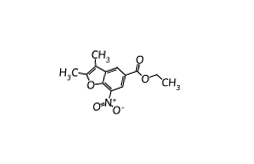 CCOC(=O)c1cc([N+](=O)[O-])c2oc(C)c(C)c2c1